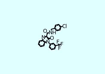 O=C(NCc1ccc(Cl)cc1)c1nc2ccccc2n(-c2cccc(C(F)(F)F)c2)c1=O